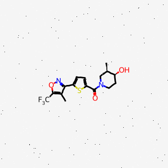 Cc1c(-c2ccc(C(=O)N3CC[C@H](O)[C@H](C)C3)s2)noc1C(F)(F)F